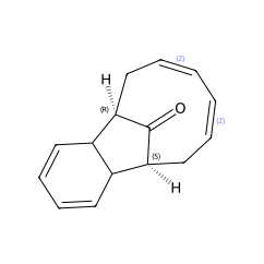 O=C1[C@H]2C/C=C\C=C/C[C@@H]1C1C=CC=CC12